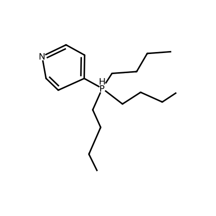 CCCC[PH](CCCC)(CCCC)c1ccncc1